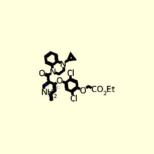 C=C/C=C(Oc1cc(Cl)c(OCC(=O)OCC)cc1Cl)\C(=C/N)C(=O)N1CCN(C2CC2)c2ccccc21